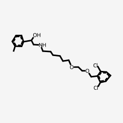 Cc1cccc(C(O)CNCCCCCCOCCOCc2c(Cl)cccc2Cl)c1